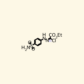 CCOC(=O)/C(Cl)=N\Nc1ccc(S(N)(=O)=O)cc1